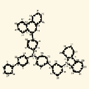 c1ccc(-c2ccc(N(c3ccc(-c4cccc(-n5c6ccccc6c6ccccc65)c4)cc3)c3ccc(-c4cc5ccccc5c5ccccc45)cc3)cc2)cc1